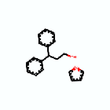 OCCC(c1ccccc1)c1ccccc1.c1ccoc1